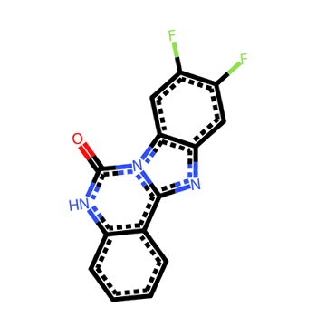 O=c1[nH]c2ccccc2c2nc3cc(F)c(F)cc3n12